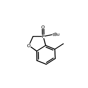 Cc1cccc2c1P(=O)(C(C)(C)C)CO2